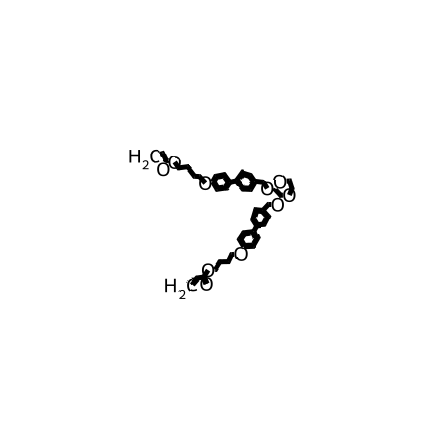 C=CC(=O)OCCCCOc1ccc(-c2ccc(CO[C@H]3OCCO[C@@H]3OCc3ccc(-c4ccc(OCCCCOC(=O)C=C)cc4)cc3)cc2)cc1